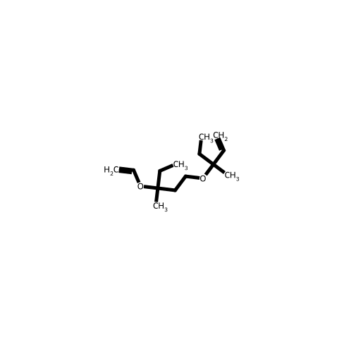 C=COC(C)(CC)CCOC(C)(C=C)CC